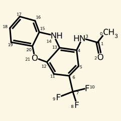 CC(=O)Nc1cc(C(F)(F)F)cc2c1Nc1ccccc1O2